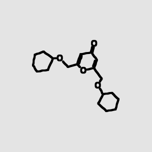 O=c1cc(COC2CCCCC2)oc(COC2CCCCC2)c1